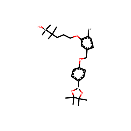 CC(C)c1ccc(COc2ccc(B3OC(C)(C)C(C)(C)O3)cc2)cc1OCCCC(C)(C)[Si](C)(C)O